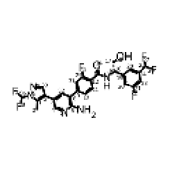 Cc1c(-c2cnc(N)c(-c3ccc(C(=O)N[C@H](CO)c4cc(F)cc(C(F)F)c4)c(F)c3)c2)cnn1C(F)F